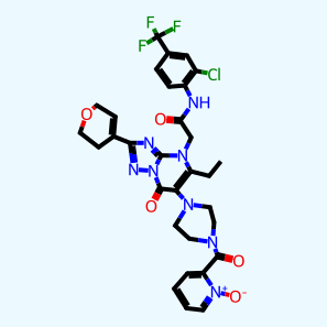 CCc1c(N2CCN(C(=O)c3cccc[n+]3[O-])CC2)c(=O)n2nc(C3=CCOCC3)nc2n1CC(=O)Nc1ccc(C(F)(F)F)cc1Cl